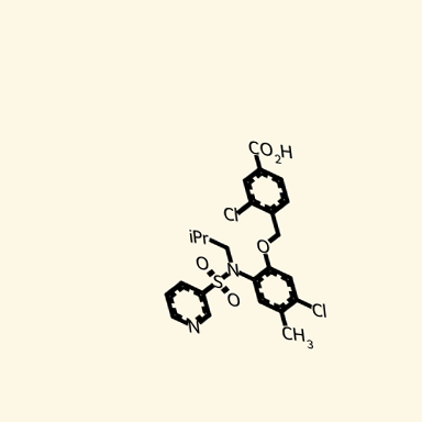 Cc1cc(N(CC(C)C)S(=O)(=O)c2cccnc2)c(OCc2ccc(C(=O)O)cc2Cl)cc1Cl